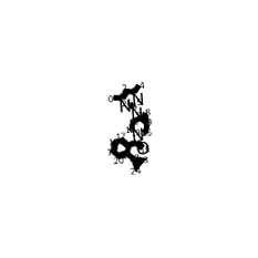 Cc1cc(C)nc(N2CC3CC2CN(C(=O)c2ccccc2C2CC2)C3)n1